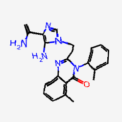 C=C(N)c1ncn(Cc2nc3cccc(C)c3c(=O)n2-c2ccccc2C)c1N